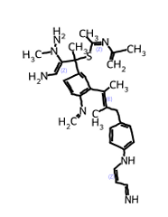 C=Nc1ccc(C(C)(S/C(C)=N\C(=C)C)/C(=C/N)N(C)N)cc1/C(C)=C(\C)Cc1ccc(N/C=C\C=N)cc1